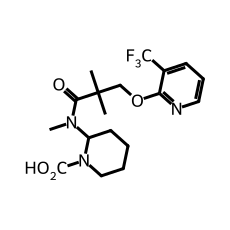 CN(C(=O)C(C)(C)COc1ncccc1C(F)(F)F)C1CCCCN1C(=O)O